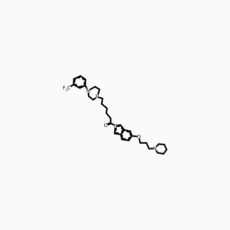 O=C(CCCCCN1CCN(c2cccc(C(F)(F)F)c2)CC1)n1cc2ccc(OCCCN3CCCCC3)cc2c1